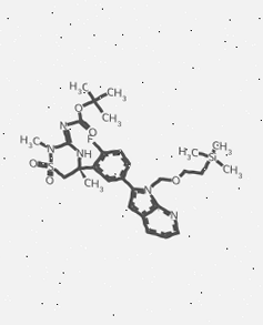 CN1/C(=N/C(=O)OC(C)(C)C)N[C@](C)(c2cc(-c3cc4cccnc4n3COCC[Si](C)(C)C)ccc2F)CS1(=O)=O